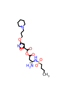 CCCCS(=O)(=O)N[C@H](N)CC(=O)OC(=O)c1cc(OCCCN2CCCCC2)no1